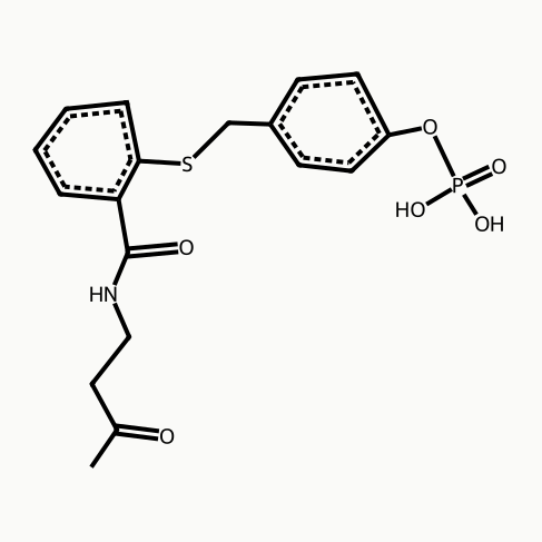 CC(=O)CCNC(=O)c1ccccc1SCc1ccc(OP(=O)(O)O)cc1